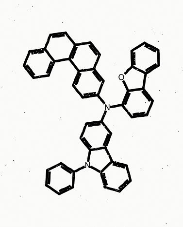 c1ccc(-n2c3ccccc3c3cc(N(c4ccc5c(ccc6ccc7ccccc7c65)c4)c4cccc5c4oc4ccccc45)ccc32)cc1